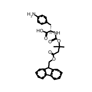 CC(C)(CC(=O)OCC1c2ccccc2-c2ccccc21)OC(=O)N[C@@H](Cc1ccc(N)cc1)C(=O)O